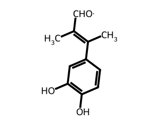 CC([C]=O)=C(C)c1ccc(O)c(O)c1